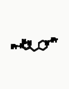 CC(C)N1CCC(Cc2cn(C(C)C)nn2)CC1